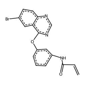 C=CC(=O)Nc1cccc(Oc2ncnc3ccc(Br)cc23)c1